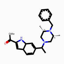 COC(=O)C1=CC2C=CC(C(C)N3C[C@@H](C)N(Cc4ccccc4)[C@@H](C)C3)=CC2N1